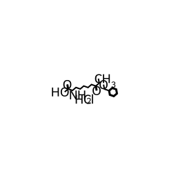 CC(OCc1ccccc1)C(=O)CCCCC[C@H](N)C(=O)O.Cl